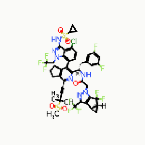 CC(C)(C#Cc1nc([C@H](Cc2cc(F)cc(F)c2)NC(=O)Cn2nc(C(F)(F)F)c3c2C(F)(F)[C@@H]2CC32)c(-c2ccc(Cl)c3c(NS(=O)(=O)C4CC4)nn(CC(F)(F)F)c23)c2c1CCC2)S(C)(=O)=O